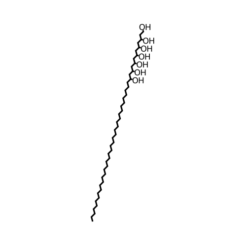 CCCCCCCCCCCCCCCCCCCCCCCCCCCCCCCCCCCCC(O)CC(O)CC(O)CC(O)CC(O)CC(O)CCO